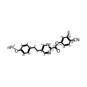 CCCOc1ccc(CCc2cnc(C(=O)Oc3ccc(C#N)c(F)c3)nc2)cc1